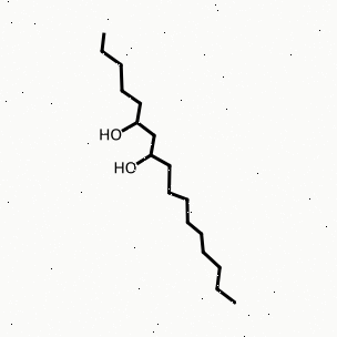 CCCCCCCCCC(O)CC(O)CCCCC